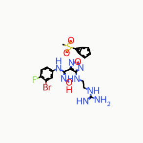 CS(=O)(=O)c1c2cccc1-2.N=C(N)NCCNc1nonc1C(=NO)Nc1ccc(F)c(Br)c1